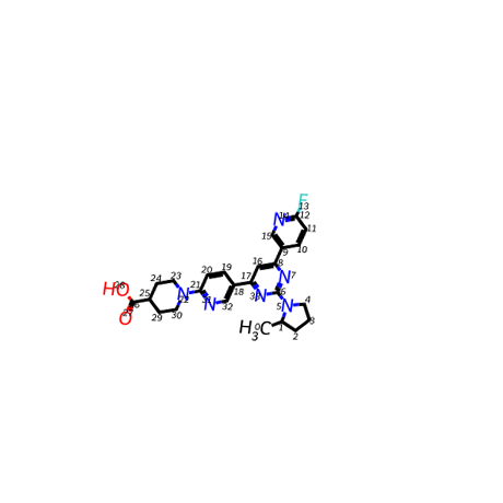 CC1CCCN1c1nc(-c2ccc(F)nc2)cc(-c2ccc(N3CCC(C(=O)O)CC3)nc2)n1